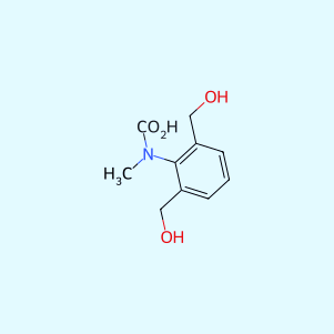 CN(C(=O)O)c1c(CO)cccc1CO